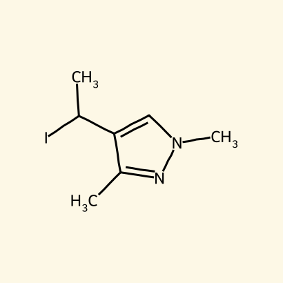 Cc1nn(C)cc1C(C)I